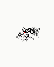 CC(C)[C@@H](C)[C@@]1(C)CC[C@]2(C)[C@H]3CC[C@@H]4[C@@]5(COC[C@]4(C)[C@@H](OC[C@](C)(N)C(C)C)[C@H](n4nc(N)c(C(N)=O)n4)C5)C3=CC[C@@]2(C)[C@@H]1C(=O)O